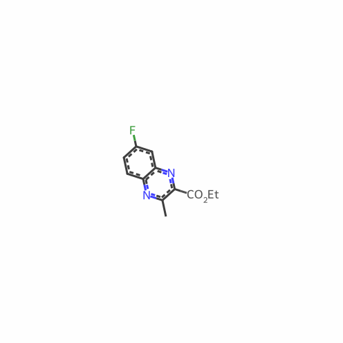 CCOC(=O)c1nc2cc(F)ccc2nc1C